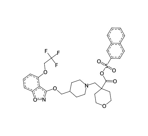 O=C(OS(=O)(=O)c1ccc2ccccc2c1)C1(CN2CCC(COc3noc4cccc(OCC(F)(F)F)c34)CC2)CCOCC1